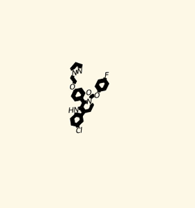 O=C(Oc1ccc(F)cc1)N1CCc2c([nH]c3ccc(Cl)cc23)C1c1ccc(OCCn2cccn2)cc1